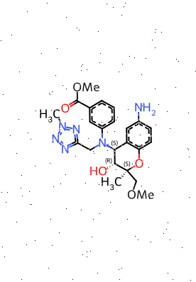 COC[C@]1(C)Oc2ccc(N)cc2[C@H](N(Cc2nnn(C)n2)c2cccc(C(=O)OC)c2)[C@H]1O